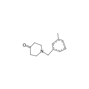 Cc1cccc(CN2CCC(=O)CC2)c1